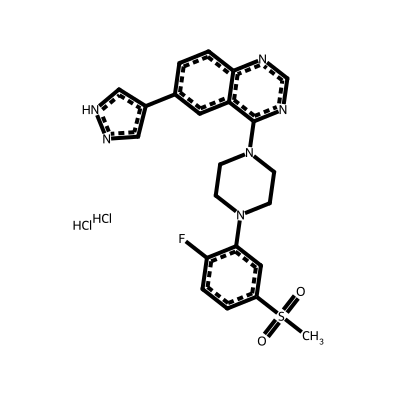 CS(=O)(=O)c1ccc(F)c(N2CCN(c3ncnc4ccc(-c5cn[nH]c5)cc34)CC2)c1.Cl.Cl